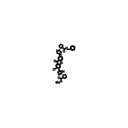 CC(C)(C)OC(=O)N1CCC[C@H]1c1ncc(-c2cc3oc4ccc(C5CN=C([C@@H]6CCCN6C(=O)OCc6ccccc6)N5)cc4c(=O)c3cc2Cl)[nH]1